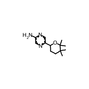 CC1(C)CCC(c2cnc(N)cn2)OC1(C)C